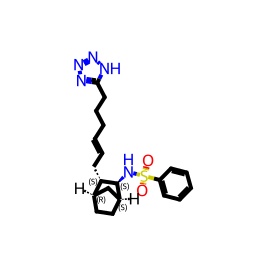 O=S(=O)(N[C@H]1[C@H]2CC[C@H](C2)[C@@H]1CC=CCCCc1nnn[nH]1)c1ccccc1